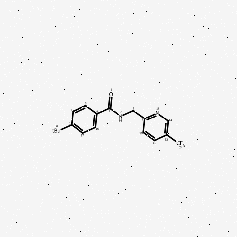 CC(C)(C)c1ccc(C(=O)NCc2ccc(C(F)(F)F)cn2)cc1